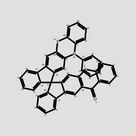 O=c1c2ccccc2sc2cc3c(cc12)-c1ccccc1C31c2ccccc2-c2cc3c(cc21)N(c1ccccc1)c1ccccc1S3